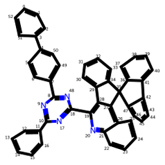 c1ccc(-c2ccc(-c3nc(-c4ccccc4)nc(-c4nc5ccccc5c5c4-c4ccccc4C54c5ccccc5-c5ccccc54)n3)cc2)cc1